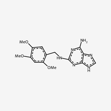 COc1cc(OC)c(OC)cc1CNc1nc(N)c2nc[nH]c2n1